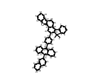 CC1(C)c2ccccc2-c2c1c(-c1ccc(-c3c4ccccc4c(-c4ccc5ccccc5c4)c4ccccc34)cc1)cc1c2ccc2c3ccccc3oc12